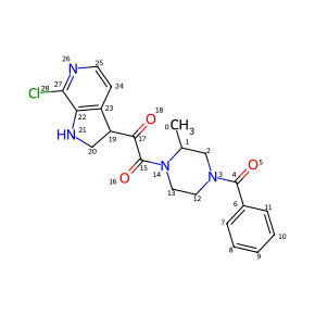 CC1CN(C(=O)c2ccccc2)CCN1C(=O)C(=O)C1CNc2c1ccnc2Cl